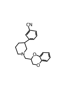 N#Cc1cccc(C2CCCN(CC3COc4ccccc4O3)C2)c1